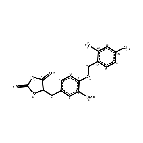 COc1cc(CC2SC(=S)NC2=O)ccc1OCc1ccc(C(F)(F)F)cc1C(F)(F)F